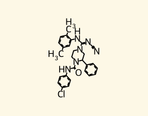 Cc1ccc(C)c(N/C(=N/C#N)N2CCN(C(=O)Nc3ccc(Cl)cc3)C(c3ccccc3)C2)c1